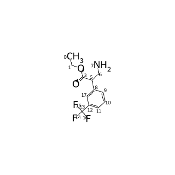 CCOC(=O)C(CN)c1cccc(C(F)(F)F)c1